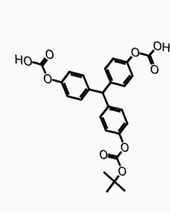 CC(C)(C)OC(=O)Oc1ccc(C(c2ccc(OC(=O)O)cc2)c2ccc(OC(=O)O)cc2)cc1